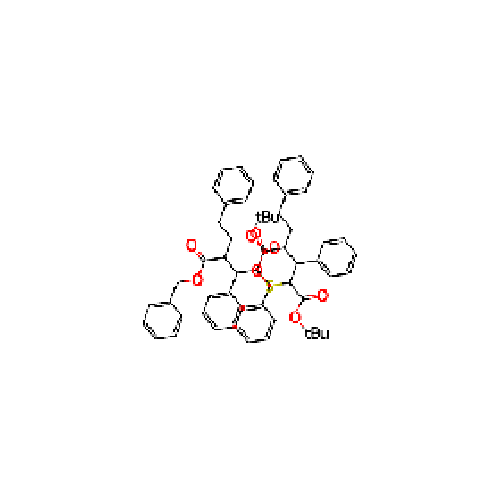 CC(C)(C)OC(=O)C(SC(C(=O)OC(C)(C)C)C(c1ccccc1)C(CCc1ccccc1)C(=O)OCc1ccccc1)C(c1ccccc1)C(CCc1ccccc1)C(=O)OCc1ccccc1